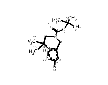 CC(C)(C)OC(=O)N1Cc2cc(Br)nn2C(C)(C)C1